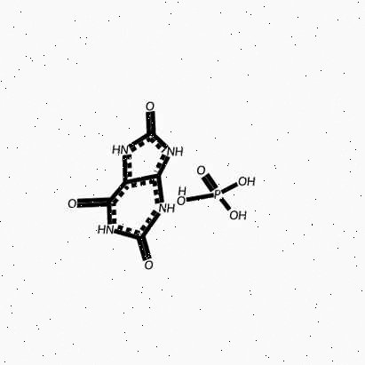 O=P(O)(O)O.O=c1[nH]c(=O)c2[nH]c(=O)[nH]c2[nH]1